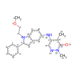 COCCn1c(-c2ccccc2)cc2cc(Nc3cnn(C)c(=O)c3C)ccc21